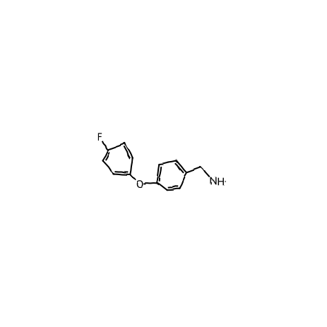 [NH]Cc1ccc(Oc2ccc(F)cc2)cc1